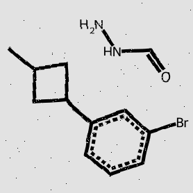 CC1CC(c2cccc(Br)c2)C1.NNC=O